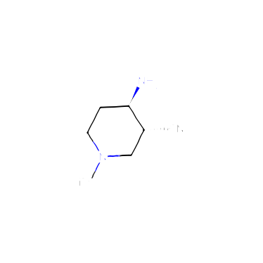 CC(C)N1CC[C@@H](N)[C@H](C#N)C1